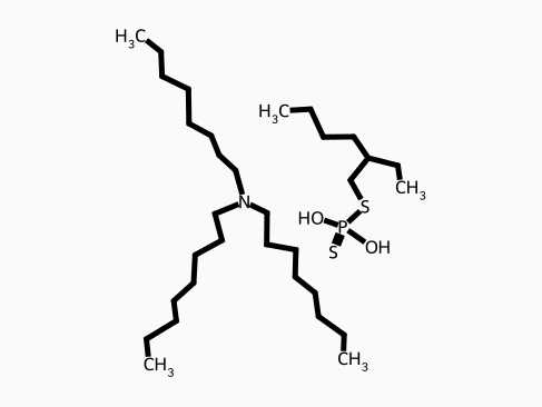 CCCCC(CC)CSP(O)(O)=S.CCCCCCCCN(CCCCCCCC)CCCCCCCC